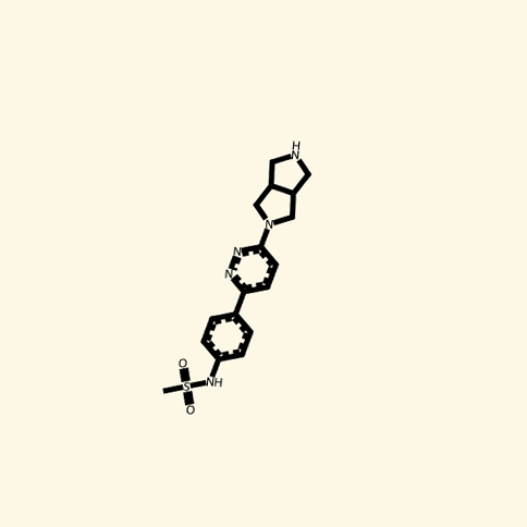 CS(=O)(=O)Nc1ccc(-c2ccc(N3CC4CNCC4C3)nn2)cc1